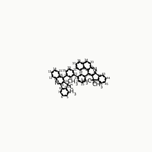 CC1(C)c2ccccc2-c2nc3ccccc3c(-c3cccc(-c4cccc(-c5c6c(nc7ccc8ccccc8c57)-c5ccccc5C6(C)C)c4)c3)c21